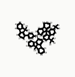 CC(C)(C)c1cccc(C2(c3cccc(C(C)(C)C)c3)c3ccccc3-c3ccc(N(c4ccc(-c5cccc6c5C(C)(C)c5ccccc5-6)cc4)c4ccc5c(c4)C(C)(c4ccccc4)c4ccccc4-5)cc32)c1